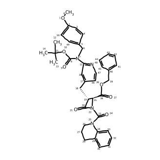 COc1ccc(CN(C(=O)OC(C)(C)C)c2cc(C[C@H]3C(=O)N(C(=O)N4CCCc5ccccc54)[C@@H]3C(=O)OCc3ccccc3)ccn2)cc1